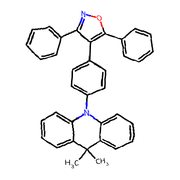 CC1(C)c2ccccc2N(c2ccc(-c3c(-c4ccccc4)noc3-c3ccccc3)cc2)c2ccccc21